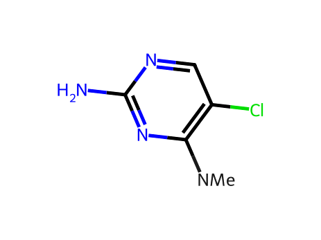 CNc1nc(N)ncc1Cl